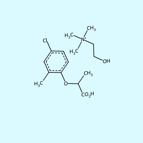 C[N+](C)(C)CCO.Cc1cc(Cl)ccc1OC(C)C(=O)O